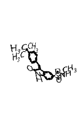 CNS(=O)(=O)c1ccc2c(c1)C(=Cc1ccc(C(C)(C)C)cc1)C(=O)N2